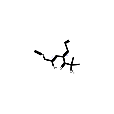 C=C/C=C(\C=C(\CN=C)C(C)C)C(=O)C(C)(C)C(F)(F)F